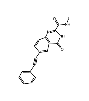 O=C(NI)c1nc2ccc(C#Cc3ccccc3)cc2c(=O)[nH]1